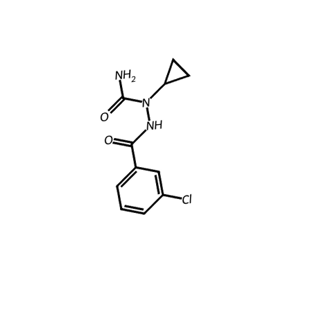 NC(=O)N(NC(=O)c1cccc(Cl)c1)C1CC1